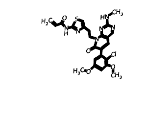 C=CC(=O)Nc1nc(CCn2c(=O)c(-c3cc(OC)cc(OC)c3Cl)cc3cnc(NC)nc32)cs1